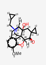 COc1ccc2c3c1O[C@H]1C(=O)C4(CC4)C[C@@]4(O)[C@@H](C2)N(CC2CC2)CC[C@]314